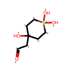 O=CCC1(O)CCS(O)(O)CC1